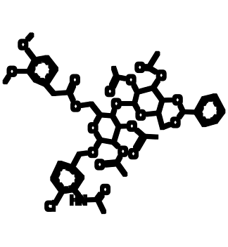 COc1ccc(CC(=O)OCC2OC(OCc3ccc(Cl)c(NC(C)=O)c3)C(OC(C)=O)C(OC(C)=O)C2OC2OC3COC(c4ccccc4)OC3C(OC(C)=O)C2OC(C)=O)cc1OC